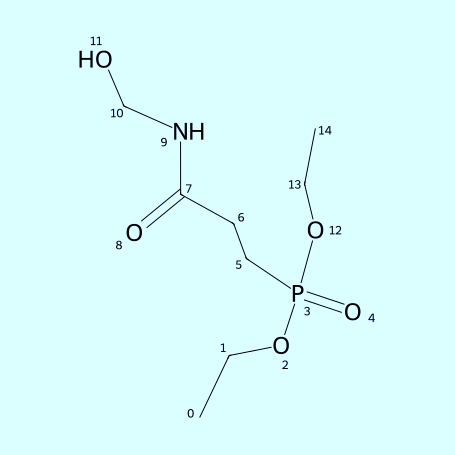 CCOP(=O)(CCC(=O)NCO)OCC